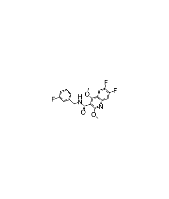 COc1nc2cc(F)c(F)cc2c(OC)c1C(=O)NCc1cccc(F)c1